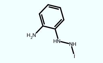 Nc1ccccc1NNI